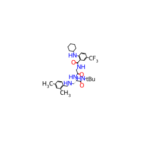 Cc1ccc(CNC[C@H](NC(=O)CNC(=O)c2cc(C(F)(F)F)ccc2NC2CCCCC2)C(=O)NC(C)(C)C)c(C)c1